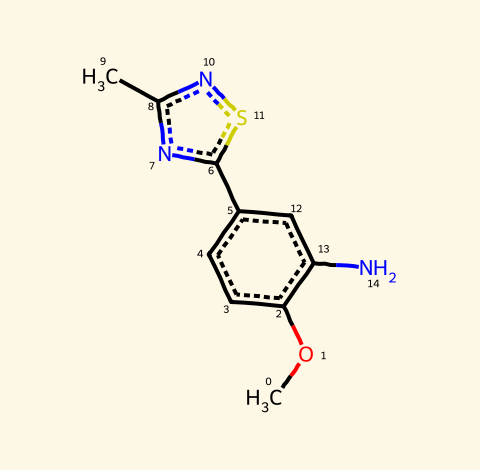 COc1ccc(-c2nc(C)ns2)cc1N